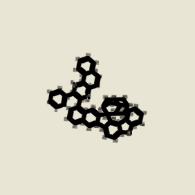 c1ccc(-c2nc3c(ccc4ccccc43)nc2-c2cccc3cc4c(cc23)C2(c3c-4ccc4oc5ccccc5c34)C3CC4CC(C3)CC2C4)cc1